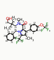 Cc1c(-c2ccc(OC(F)(F)F)cc2)c(C(=O)N(C)CC(C)(C)CO)n(Cc2ccccc2)c1C(F)(F)F